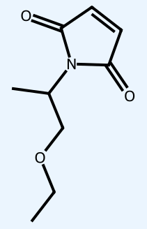 CCOCC(C)N1C(=O)C=CC1=O